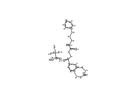 O=C(CCC(=O)c1ccc2c(c1)CCNCC2)NCCCc1ccccc1.O=C(O)C(F)(F)F